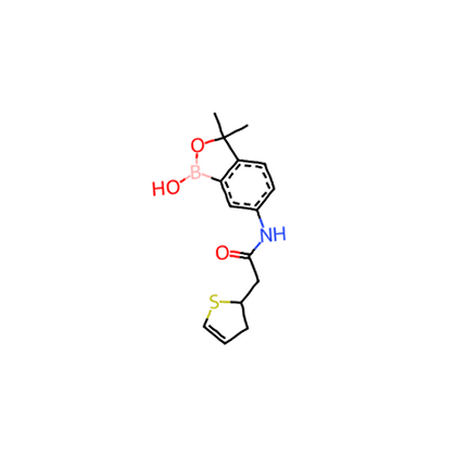 CC1(C)OB(O)c2cc(NC(=O)CC3CC=CS3)ccc21